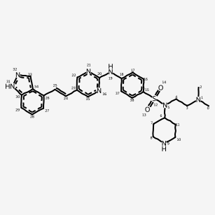 CN(C)CCN(C1CCNCC1)S(=O)(=O)c1ccc(Nc2ncc(C=Cc3cccc4[nH]ncc34)cn2)cc1